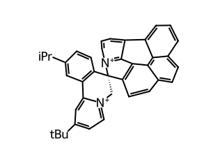 CC(C)c1ccc2c(c1)-c1cc(C(C)(C)C)cc[n+]1C[C@]21c2ccc3ccc4cccc5c6ccc[n+]1c6c2c3c45